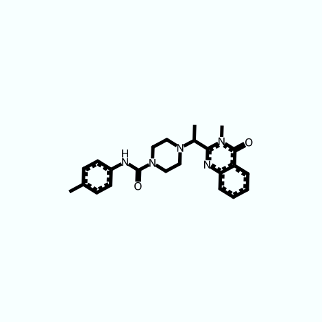 Cc1ccc(NC(=O)N2CCN(C(C)c3nc4ccccc4c(=O)n3C)CC2)cc1